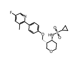 Cc1cc(F)cnc1-c1ccc(OC[C@H]2COCC[C@@H]2NS(=O)(=O)C2CC2)cc1